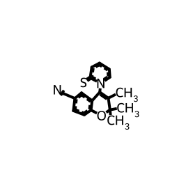 CC1=C(n2ccccc2=S)c2cc(C#N)ccc2OC1(C)C